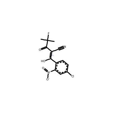 CC(C)(F)C(=O)/C(C#N)=C(\O)c1ccc(Cl)cc1[N+](=O)[O-]